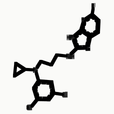 Fc1ccc2nc(NCCCN(c3cc(Cl)cc(Cl)c3)C3CC3)[nH]c2n1